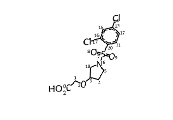 O=C(O)COC1CCN(S(=O)(=O)c2ccc(Cl)cc2Cl)C1